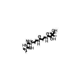 CN(C)C(=N)NC(=N)NSCCNC(=O)CCNC(=O)C(O)C(C)(C)CO